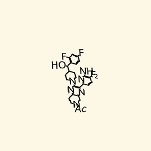 CC(=O)N1CCc2nc(N3CCC(C(O)c4ccc(F)cc4F)CC3)c(-c3ccc(F)c(N)n3)nc2C1